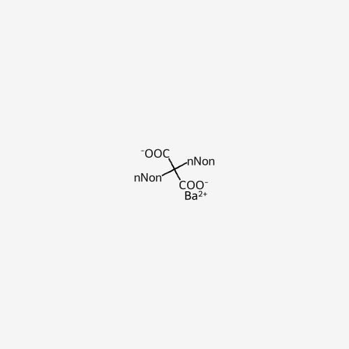 CCCCCCCCCC(CCCCCCCCC)(C(=O)[O-])C(=O)[O-].[Ba+2]